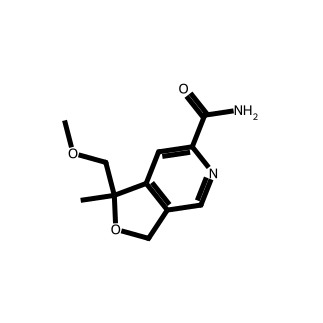 COCC1(C)OCc2cnc(C(N)=O)cc21